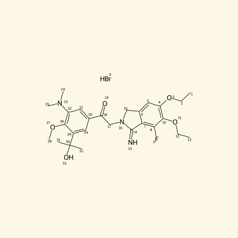 Br.CCOc1cc2c(c(F)c1OCC)C(=N)N(CC(=O)c1cc(N(C)C)c(OC)c(C(C)(C)O)c1)C2